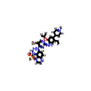 CCc1cc(Nc2ncc(Br)c(Nc3ccc4nccnc4c3N(C)S(C)(=O)=O)n2)c(OC(C)C)cc1C1CCN(C)CC1